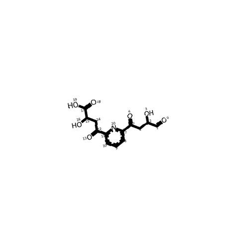 O=CC(O)CC(=O)c1cccc(C(=O)CC(O)C(=O)O)n1